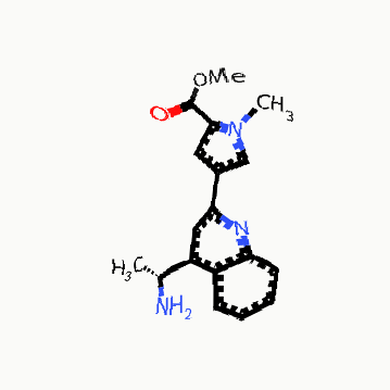 COC(=O)c1cc(-c2cc([C@@H](C)N)c3ccccc3n2)cn1C